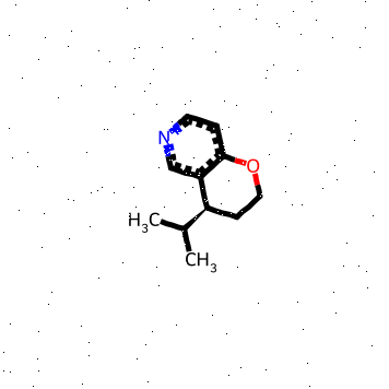 CC(C)[C@@H]1CCOc2ccncc21